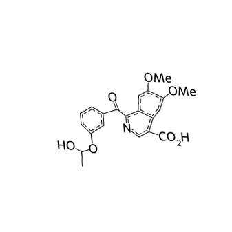 COc1cc2c(C(=O)O)cnc(C(=O)c3cccc(OC(C)O)c3)c2cc1OC